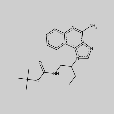 CCC(CNC(=O)OC(C)(C)C)n1cnc2c(N)nc3ccccc3c21